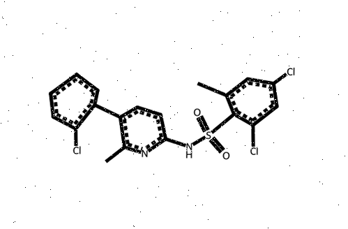 Cc1cc(Cl)cc(Cl)c1S(=O)(=O)Nc1ccc(-c2ccccc2Cl)c(C)n1